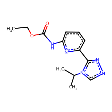 CCOC(=O)Nc1cccc(-c2nncn2C(C)C)n1